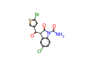 NC(=O)N1C(=O)C(C(=O)c2csc(Br)c2)c2cc(Cl)ccc21